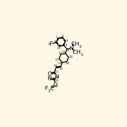 CN(C)C(c1cccc(F)c1)C1CCC(C=Cc2nc(OC(F)(F)F)no2)CC1